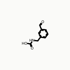 O=Cc1cccc(CNC(=O)O)c1